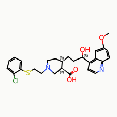 COc1ccc2nccc([C@H](O)CC[C@@H]3CCN(CCSc4ccccc4Cl)C[C@@H]3C(=O)O)c2c1